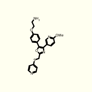 COc1ccc(-c2nc(CSc3ccncc3)oc2-c2ccc(OCCN)cc2)cn1